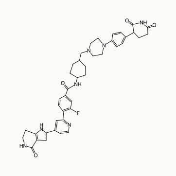 O=C1CCC(c2ccc(N3CCN(CC4CCC(NC(=O)c5ccc(-c6cc(-c7cc8c([nH]7)CCNC8=O)ccn6)c(F)c5)CC4)CC3)cc2)C(=O)N1